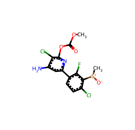 COC(=O)Oc1nc(-c2ccc(Cl)c([S+](C)[O-])c2F)cc(N)c1Cl